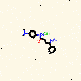 CN(C)c1ccc(NC(=O)CCC(N)c2ccccc2)cc1.Cl